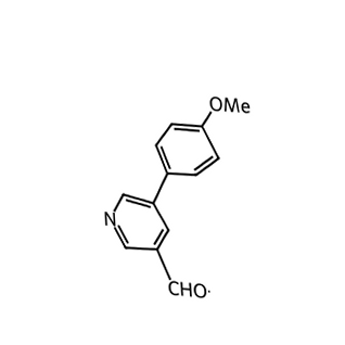 COc1ccc(-c2cncc([C]=O)c2)cc1